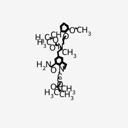 CCOc1ccccc1OCCN(C(=O)OC(C)(C)C)C(C)Cc1cc(C(N)=O)c2c(ccn2CCCOC(=O)C(C)(C)C)c1